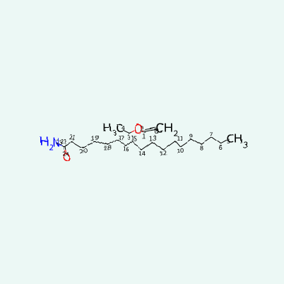 C=COCC.CCCCCCCCCCCCCCCCCC(N)=O